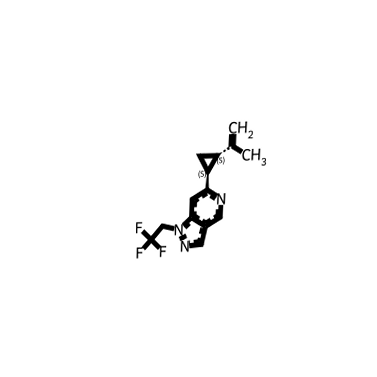 C=C(C)[C@H]1C[C@@H]1c1cc2c(cn1)cnn2CC(F)(F)F